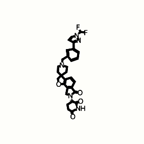 O=C1CC[C@H](N2Cc3c(ccc4c3OCC43CCN(Cc4cccc(-c5ccn(C(F)F)n5)c4)CC3)C2=O)C(=O)N1